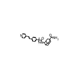 CC(C)(C(=O)NC1C2CC3CC1CC(C(N)=O)(C3)C2)c1ccc(C=Cc2ccncc2)cc1